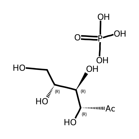 CC(=O)[C@H](O)[C@H](O)[C@H](O)CO.O=P(O)(O)O